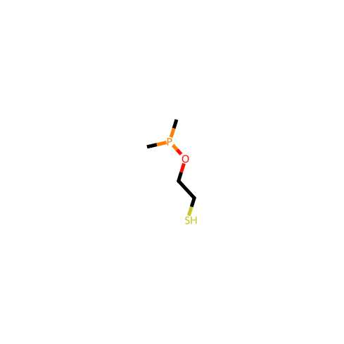 CP(C)OCCS